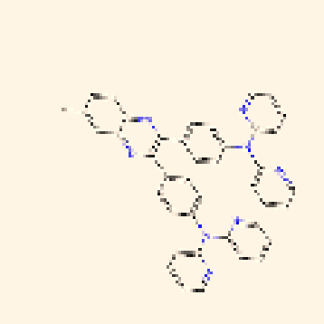 Cc1ccc2nc(-c3ccc(N(c4ccccn4)c4ccccn4)cc3)c(-c3ccc(N(c4ccccn4)c4ccccn4)cc3)nc2c1